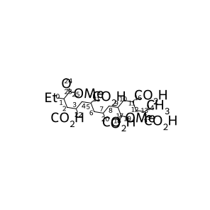 CCC(CC(CC(CC(CC(CC(CC(C)C(=O)O)C(=O)O)C(=O)OC)C(=O)O)C(=O)O)C(=O)O)C(=O)OC